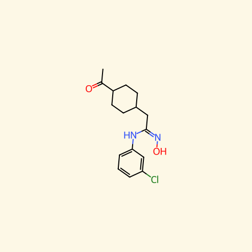 CC(=O)C1CCC(C/C(=N/O)Nc2cccc(Cl)c2)CC1